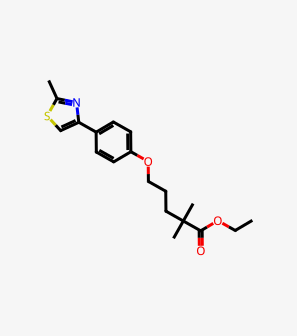 CCOC(=O)C(C)(C)CCCOc1ccc(-c2csc(C)n2)cc1